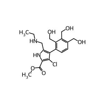 CCNCc1[nH]c(C(=O)OC)c(Cl)c1-c1ccc(CO)c(CO)c1CO